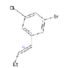 CC/C=C/c1cc(Cl)cc(Br)c1